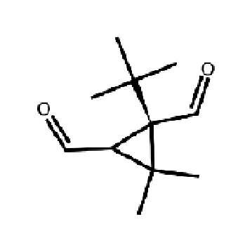 CC(C)(C)[C@]1(C=O)C(C=O)C1(C)C